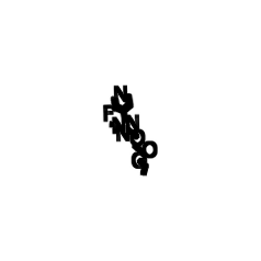 CCOC(=O)COc1nc(-c2ccncc2F)n(C)n1